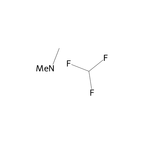 CNC.FC(F)F